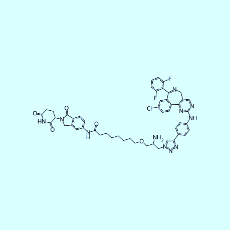 NC(COCCCCCCCC(=O)Nc1ccc2c(c1)CN(C1CCC(=O)NC1=O)C2=O)Cn1cc(-c2ccc(Nc3ncc4c(n3)-c3ccc(Cl)cc3C(c3c(F)cccc3F)=NC4)cc2)nn1